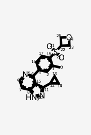 Cc1cc(-c2nccc3[nH]nc(C4CC4)c23)ccc1S(=O)(=O)C1COC1